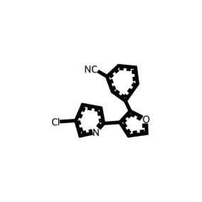 N#Cc1cccc(-c2occc2-c2ccc(Cl)cn2)c1